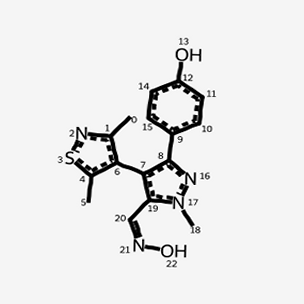 Cc1nsc(C)c1-c1c(-c2ccc(O)cc2)nn(C)c1/C=N\O